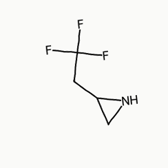 FC(F)(F)CC1CN1